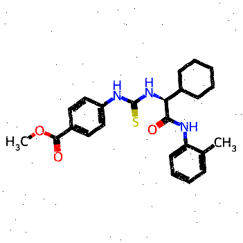 COC(=O)c1ccc(NC(=S)N[C@H](C(=O)Nc2ccccc2C)C2CCCCC2)cc1